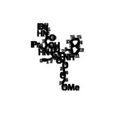 C#CC[C@H](NC(=O)[C@H](Cc1cccc2ccccc12)NC(=O)OCCOCCOC)C(=O)NC(CC(C)C)C(O)CC(=O)NCC(C)CC